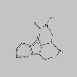 CC(C)N1CC2NCCc3c2n(c2ccccc32)C1=O